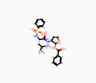 CC(C)C[C@H](NS(=O)(=O)c1ccccc1)C(=O)N[C@H]1CCO[C@H]1OC(=O)c1ccccc1